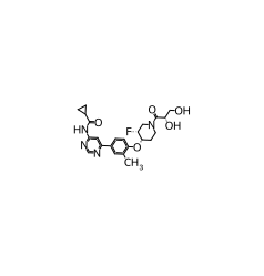 Cc1cc(-c2cc(NC(=O)C3CC3)ncn2)ccc1O[C@H]1CCN(C(=O)[C@@H](O)CO)C[C@H]1F